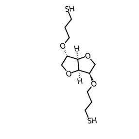 SCCCO[C@H]1CO[C@H]2[C@@H]1OC[C@H]2OCCCS